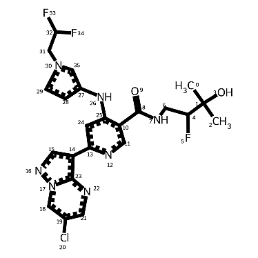 CC(C)(O)C(F)CNC(=O)c1cnc(-c2cnn3cc(Cl)cnc23)cc1Nc1ccn(CC(F)F)c1